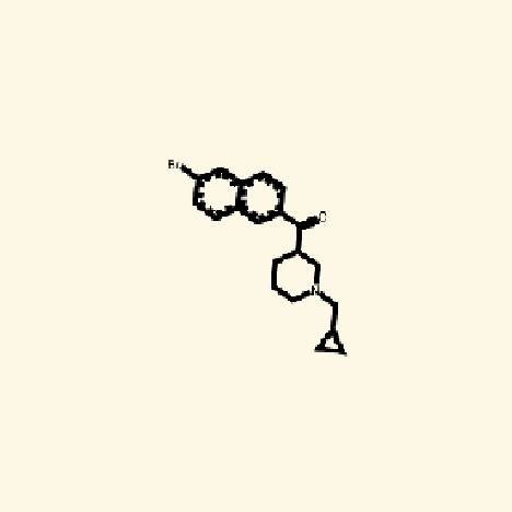 O=C(c1ccc2cc(Br)ccc2c1)C1CCCN(CC2CC2)C1